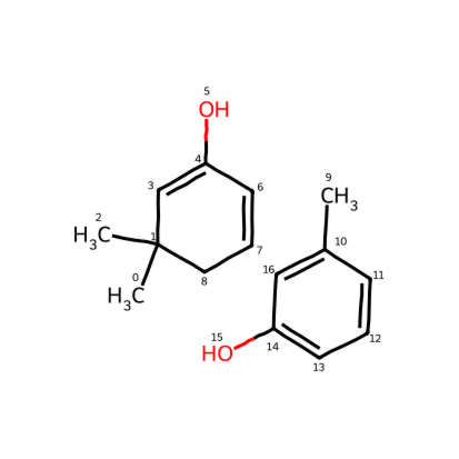 CC1(C)C=C(O)C=CC1.Cc1cccc(O)c1